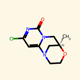 C[C@@]12CN(CCO1)c1cc(Cl)nc(=O)n1C2